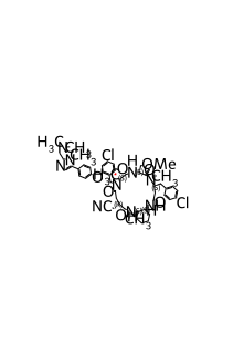 COC[C@@H]1NC(=O)[C@H](C)N(Cc2ccc(Cl)cc2Oc2ccc(-c3cnc(CN(C)C)n3C)cc2)C(=O)C[C@@H](CC#N)C(=O)N(C)[C@H]2CCCC[C@@H]2NC(=O)C[C@H](Cc2ccc(Cl)cc2)N(C)C1=O